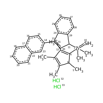 CC1=C(C)C(C)[C]([Zr]([CH3])([CH3])(=[SiH2])[CH]2C=C(c3ccc4ccccc4c3)c3ccccc32)=C1C.Cl.Cl